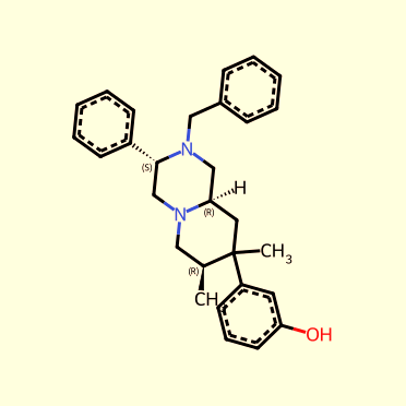 C[C@H]1CN2C[C@H](c3ccccc3)N(Cc3ccccc3)C[C@H]2CC1(C)c1cccc(O)c1